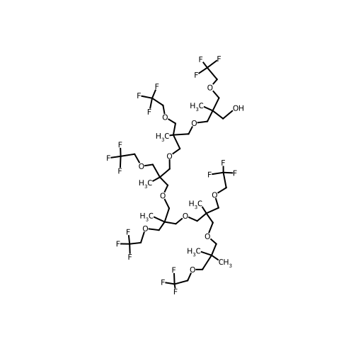 CC(C)(COCC(F)(F)F)COCC(C)(COCC(F)(F)F)COCC(C)(COCC(F)(F)F)COCC(C)(COCC(F)(F)F)COCC(C)(COCC(F)(F)F)COCC(C)(CO)COCC(F)(F)F